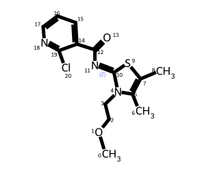 COCCn1c(C)c(C)s/c1=N\C(=O)c1cccnc1Cl